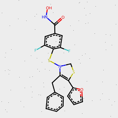 O=C(NO)c1cc(F)c(SN2CSC(c3ccco3)=C2Cc2ccccc2)c(F)c1